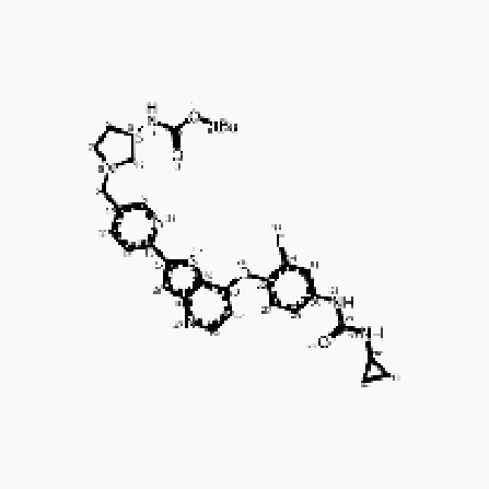 CC(C)(C)OC(=O)N[C@H]1CCN(Cc2ccc(-c3cc4nccc(Oc5ccc(NC(=O)NC6CC6)cc5F)c4s3)nc2)C1